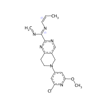 C=N/C(=N\C=C/C)c1ncc2c(n1)CCN(c1cc(Cl)nc(OC)c1)C2